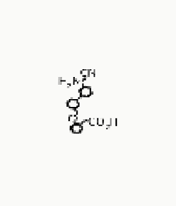 N#CCC(N)c1cccc(-c2cccc(COc3ccccc3CC(=O)O)c2)c1